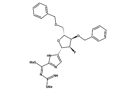 CSC(=N)/N=C(/SC)c1ncc([C@@H]2O[C@H](COCc3ccccc3)[C@@H](OCc3ccccc3)[C@H]2F)[nH]1